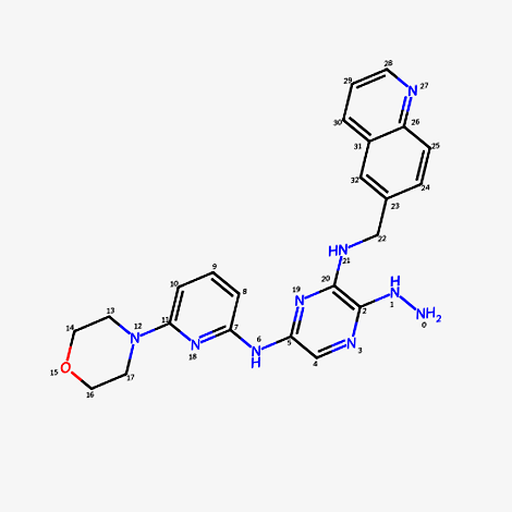 NNc1ncc(Nc2cccc(N3CCOCC3)n2)nc1NCc1ccc2ncccc2c1